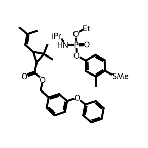 CC(C)=CC1C(C(=O)OCc2cccc(Oc3ccccc3)c2)C1(C)C.CCOP(=O)(NC(C)C)Oc1ccc(SC)c(C)c1